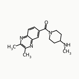 CNC1CCN(C(=O)c2ccc3nc(C)c(C)nc3c2)CC1